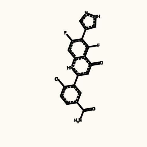 NC(=O)c1ccc(Cl)c(-c2cc(=O)c3c(F)c(-c4cn[nH]c4)c(F)cc3[nH]2)c1